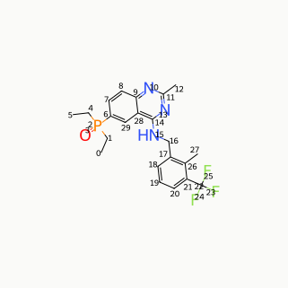 CCP(=O)(CC)c1ccc2nc(C)nc(NCc3cccc(C(F)(F)F)c3C)c2c1